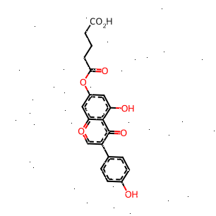 O=C(O)CCCC(=O)Oc1cc(O)c2c(=O)c(-c3ccc(O)cc3)coc2c1